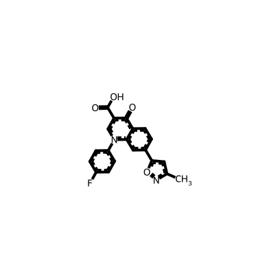 Cc1cc(-c2ccc3c(=O)c(C(=O)O)cn(-c4ccc(F)cc4)c3c2)on1